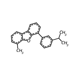 Cc1cccc2c1oc1c(-c3cccc(C(C)C)c3)cccc12